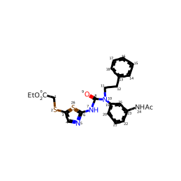 CCOC(=O)CSc1cnc(NC(=O)N(CCc2ccccc2)c2cccc(NC(C)=O)c2)s1